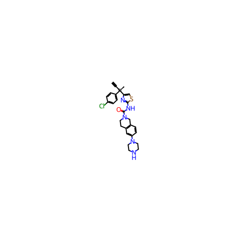 C#C[C@@](C)(c1ccc(Cl)cc1)c1csc(NC(=O)N2CCc3cc(N4CCNCC4)ccc3C2)n1